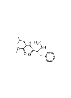 COC(=O)[C@@H](CC(C)C)NC(=O)[C@@H](Cc1ccccc1)NP